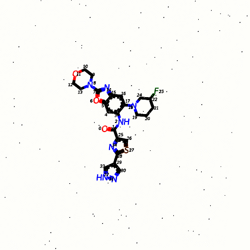 O=C(Nc1cc2oc(N3CCOCC3)nc2cc1N1CCCC(F)C1)c1csc(-c2cn[nH]c2)n1